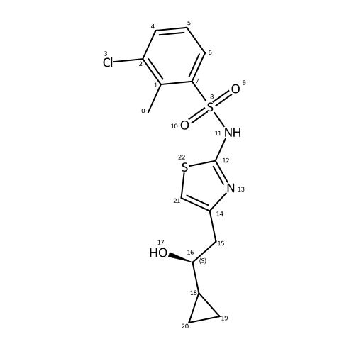 Cc1c(Cl)cccc1S(=O)(=O)Nc1nc(C[C@H](O)C2CC2)cs1